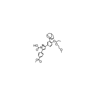 CCC(OCCOC)Oc1ccc(-c2cc(-c3ccc(C(=O)OC)cc3)n(C(=O)O)n2)cc1C12CC3CC(CC(C3)C1)C2